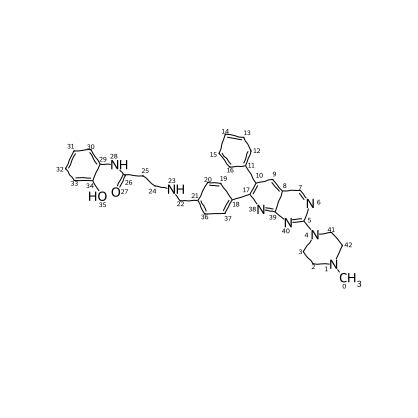 CN1CCN(c2ncc3cc(-c4ccccc4)c(-c4ccc(CNCCC(=O)Nc5ccccc5O)cc4)nc3n2)CC1